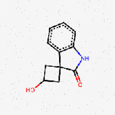 O=C1Nc2ccccc2C12CC(O)C2